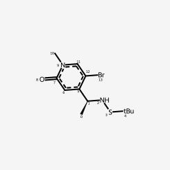 C[C@H](NSC(C)(C)C)c1cc(=O)n(C)cc1Br